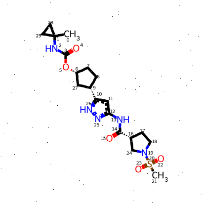 CC1(NC(=O)O[C@@H]2CC[C@H](c3cc(NC(=O)[C@@H]4CCN(S(C)(=O)=O)C4)n[nH]3)C2)CC1